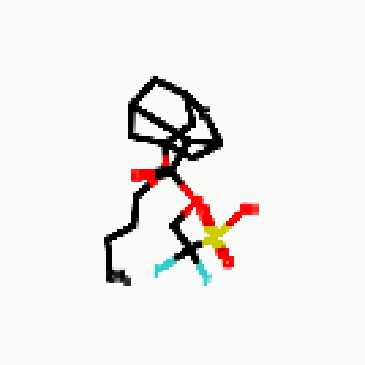 CCCCOC12CC3CC(C1)C(C(=O)OCC(F)(F)S(=O)(=O)O)C(C3)C2